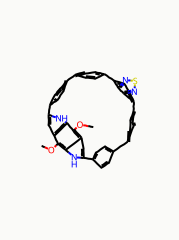 COc1c2cc3[nH]c2c(OC)c2cc([nH]c12)-c1ccc(cc1)-c1ccc(cc1)-c1ccc(c2nsnc12)-c1ccc(cc1)-c1ccc-3cc1